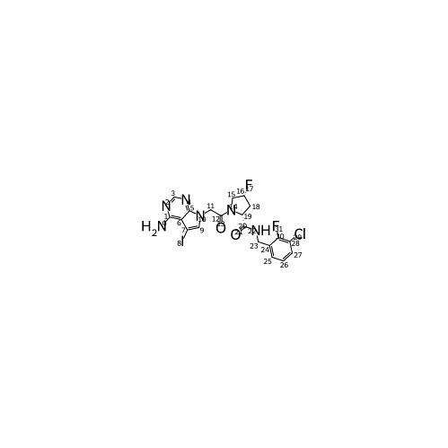 Nc1ncnc2c1c(I)cn2CC(=O)N1C[C@H](F)C[C@@H]1C(=O)NCc1cccc(Cl)c1F